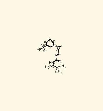 CC(C)C(C)NC(=O)C=C[C@@H]1C[C@@H]1c1cccc(C(F)(F)F)c1